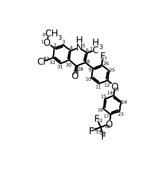 COc1cc2[nH]c(C)c(-c3ccc(Oc4ccc(OC(F)(F)F)cc4)cc3F)c(=O)c2cc1Cl